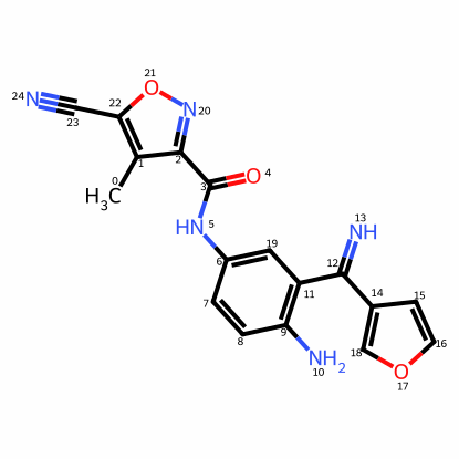 Cc1c(C(=O)Nc2ccc(N)c(C(=N)c3ccoc3)c2)noc1C#N